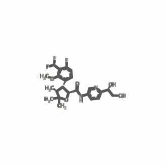 COc1c([C@@H]2[C@@H](C(=O)Nc3ccc([C@H](O)CO)nc3)OC(C)(C)[C@@H]2C)ccc(F)c1C(F)F